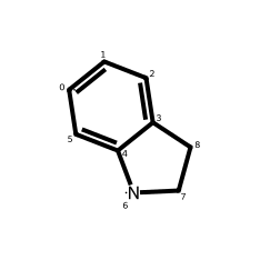 [c]1ccc2c(c1)[N]CC2